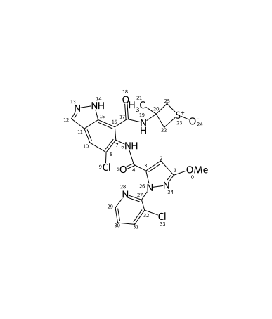 COc1cc(C(=O)Nc2c(Cl)cc3cn[nH]c3c2C(=O)NC2(C)C[S+]([O-])C2)n(-c2ncccc2Cl)n1